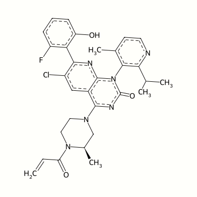 C=CC(=O)N1CCN(c2nc(=O)n(-c3c(C)ccnc3C(C)C)c3nc(-c4c(O)cccc4F)c(Cl)cc23)C[C@H]1C